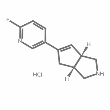 Cl.Fc1ccc(C2=C[C@@H]3CNC[C@@H]3C2)cn1